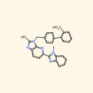 CCCc1nc2ccc(-c3nc4ccccc4n3C)nc2n1Cc1ccc(-c2ccccc2C(=O)O)cc1